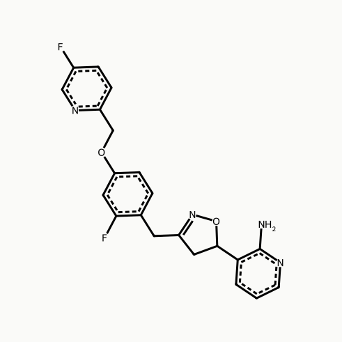 Nc1ncccc1C1CC(Cc2ccc(OCc3ccc(F)cn3)cc2F)=NO1